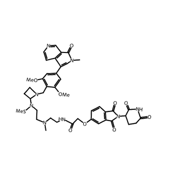 COc1cc(-c2cn(C)c(=O)c3cnccc23)cc(OC)c1CN1CCC1N(CCN(C)CCNC(=O)COc1ccc2c(c1)C(=O)N(C1CCC(=O)NC1=O)C2=O)SC